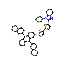 c1ccc(-n2c(-c3ccc(-c4ccc(-c5ccc6c(-c7ccc8ccccc8c7)c7ccccc7c(-c7ccc8ccccc8c7)c6c5)s4)s3)nc3ccccc32)cc1